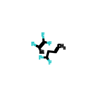 C=CCC(F)F.CCC(F)=C(F)F